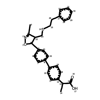 CC1=NOC(c2ccc(-c3ccc(C(C)C(=O)O)cc3)cc2)C1CSCCc1ccccc1